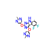 Cc1ncc(Oc2nc(Oc3cnc(C)nc3)c3c(n2)[nH]c2[c]cc(F)c(F)c23)cn1